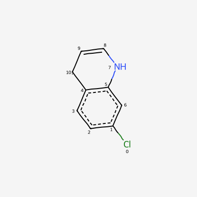 Clc1ccc2c(c1)NC=C[CH]2